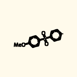 COc1ccc(S(=O)(=O)c2cc[c]cc2)cc1